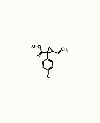 C=CC1CC1(C(=O)OC)c1ccc(Cl)cc1